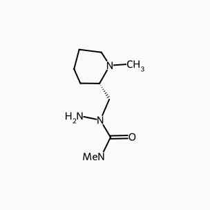 CNC(=O)N(N)C[C@@H]1CCCCN1C